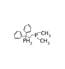 CCP(CC)CCC(P)(c1ccccc1)c1ccccc1